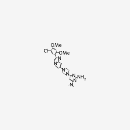 COc1cc(OC)c(-c2cn3ccc(N4CCN(c5cc(N(C)C)nc(N)n5)CC4)cc3n2)cc1Cl